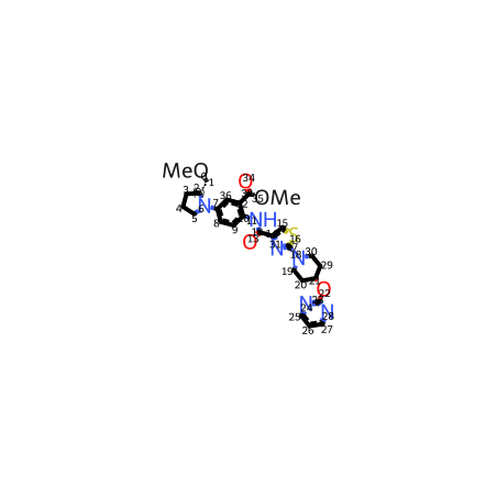 COC[C@H]1CCCN1c1ccc(NC(=O)c2csc(N3CCC(Oc4ncccn4)CC3)n2)c(C(=O)OC)c1